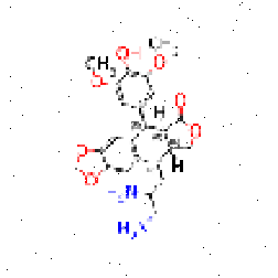 COc1cc([C@@H]2c3cc4c(cc3[C@H](CC(N)CN)[C@H]3COC(=O)[C@H]23)OCO4)cc(OC)c1O